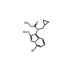 COc1nn2c(Br)cccc2c1N(CC1CC1)C(=O)OC(C)(C)C